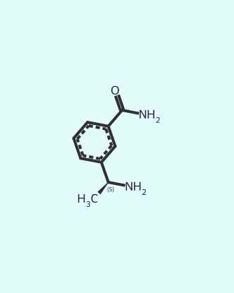 C[C@H](N)c1cccc(C(N)=O)c1